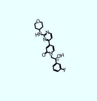 O=c1cc(-c2ccnc(NC3CCOCC3)n2)ccn1C[C@@H](O)c1cccc(F)c1